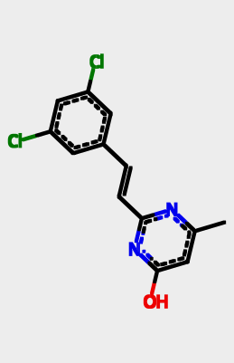 Cc1cc(O)nc(C=Cc2cc(Cl)cc(Cl)c2)n1